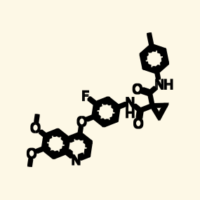 COc1cc2nccc(Oc3ccc(NC(=O)C4(C(=O)Nc5ccc(C)cc5)CC4)cc3F)c2cc1OC